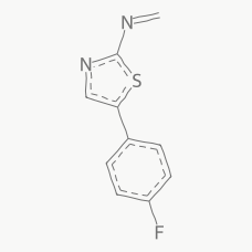 C=Nc1ncc(-c2ccc(F)cc2)s1